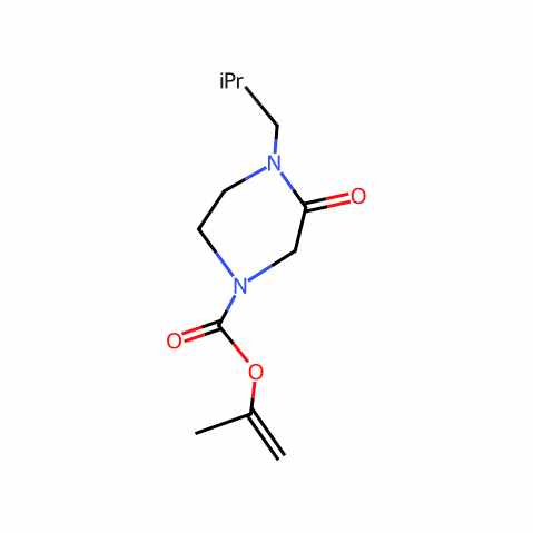 C=C(C)OC(=O)N1CCN(CC(C)C)C(=O)C1